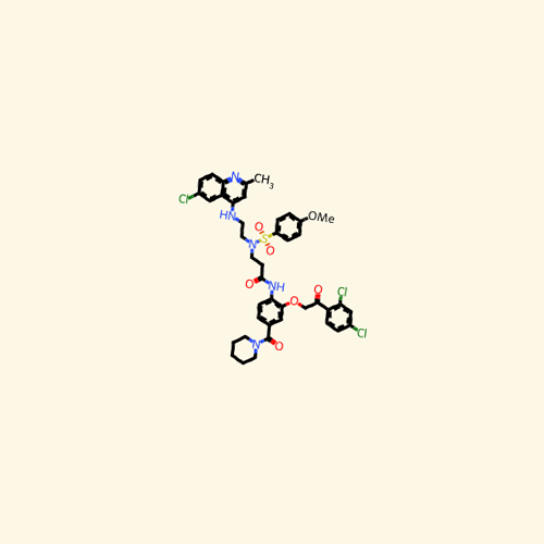 COc1ccc(S(=O)(=O)N(CCNc2cc(C)nc3ccc(Cl)cc23)CCC(=O)Nc2ccc(C(=O)N3CCCCC3)cc2OCC(=O)c2ccc(Cl)cc2Cl)cc1